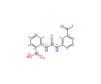 CC(=O)c1cccc(NC(=O)Nc2ccccc2C(=O)O)c1